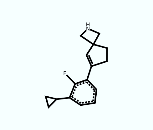 Fc1c(C2=CC3(CC2)CNC3)cccc1C1CC1